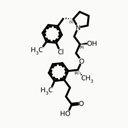 Cc1ccc(C[C@@H]2CCCN2C[C@@H](O)CO[C@H](C)c2cccc(C)c2CCC(=O)O)cc1Cl